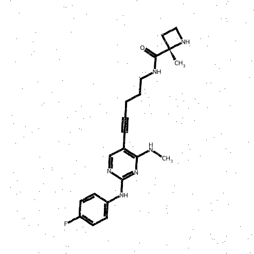 CNc1nc(Nc2ccc(F)cc2)ncc1C#CCCCNC(=O)[C@]1(C)CCN1